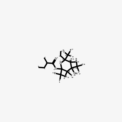 CCC(C)C(=O)OC1(C(F)(F)F)OC(CC)(C(F)(F)F)C(F)(F)C(O)(C(F)(F)F)C1(F)F